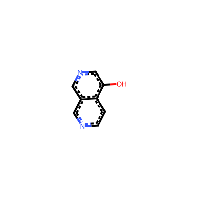 Oc1cncc2cnccc12